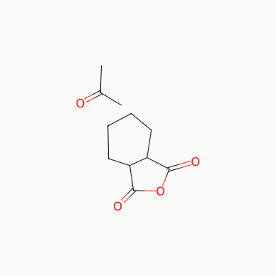 CC(C)=O.O=C1OC(=O)C2CCCCC12